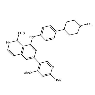 COc1cc(OC)c(-c2cc3c(c(Nc4ccc(C5CCN(C)CC5)cc4)n2)C(C=O)NC=C3)cn1